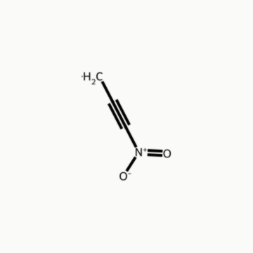 [CH2]C#C[N+](=O)[O-]